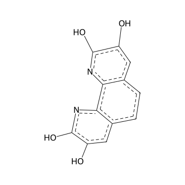 Oc1cc2ccc3cc(O)c(O)nc3c2nc1O